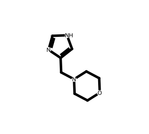 [c]1nc(CN2CCOCC2)c[nH]1